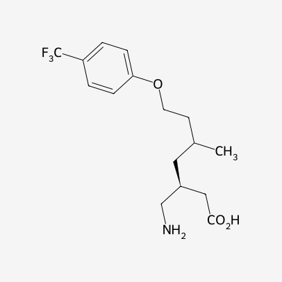 CC(CCOc1ccc(C(F)(F)F)cc1)C[C@H](CN)CC(=O)O